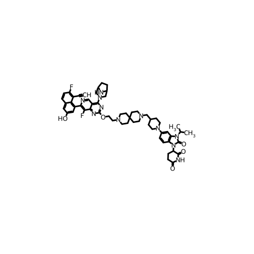 C#Cc1c(F)ccc2cc(O)cc(-c3ncc4c(N5CC6CCC(C5)N6)nc(OCCN5CCC6(CC5)CCN(CC5CCN(c7ccc8c(c7)n(C(C)C)c(=O)n8C7CCC(=O)NC7=O)CC5)CC6)nc4c3F)c12